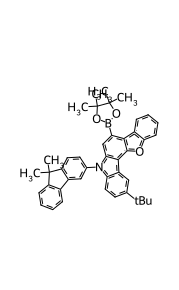 CC(C)(C)c1ccc2c(c1)c1c3oc4ccccc4c3c(B3OC(C)(C)C(C)(C)O3)cc1n2-c1ccc2c(c1)-c1ccccc1C2(C)C